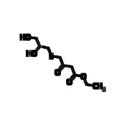 CCOC(=O)CC(=O)CSCC(O)CO